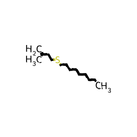 C=C(C)CCSCCCCCCCCC